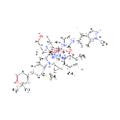 Cc1cc(-n2nc3c(c2-n2ccn(-c4ccc5c(cnn5C)c4F)c2=O)[C@@H]2COC[C@H](C3)N2C(=O)c2cc3cc([C@H]4CCOC(C)(C)C4)cc(F)c3n2[C@@]2(c3noc(=O)[nH]3)C[C@@H]2C)cc(C)c1F